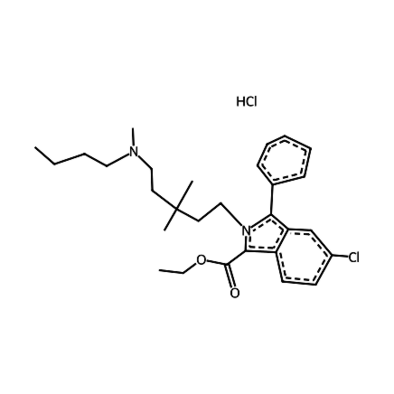 CCCCN(C)CCC(C)(C)CCn1c(C(=O)OCC)c2ccc(Cl)cc2c1-c1ccccc1.Cl